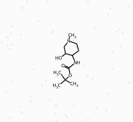 CN1CCC(NC(=O)OC(C)(C)C)C(O)C1